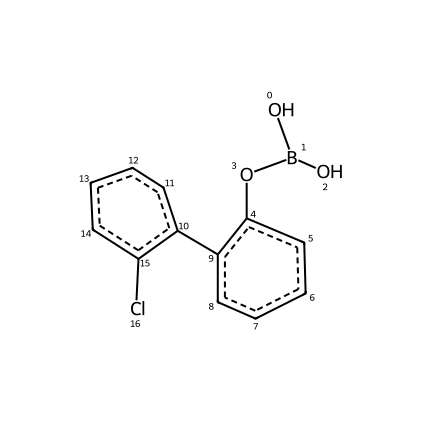 OB(O)Oc1ccccc1-c1ccccc1Cl